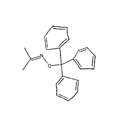 CC(C)=NOC(c1ccccc1)(c1ccccc1)c1ccccc1